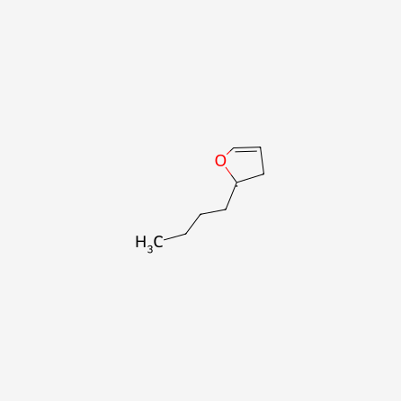 CCCC[C]1CC=CO1